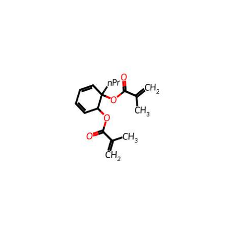 C=C(C)C(=O)OC1C=CC=CC1(CCC)OC(=O)C(=C)C